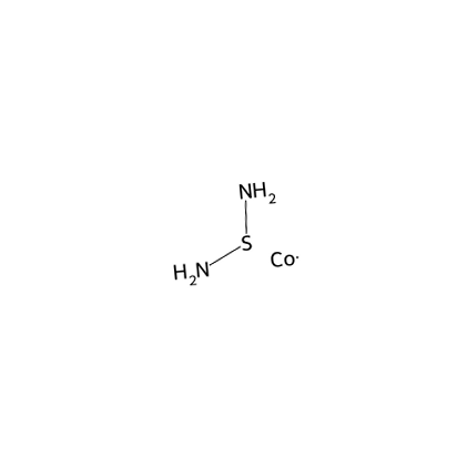 NSN.[Co]